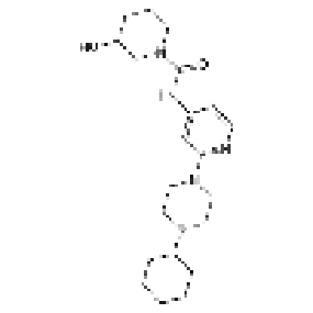 O=C(Nc1cc(N2CCN(C3CCCCC3)CC2)ncn1)N1CCCC(O)C1